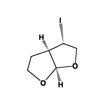 I[C@@H]1CO[C@H]2OCC[C@H]21